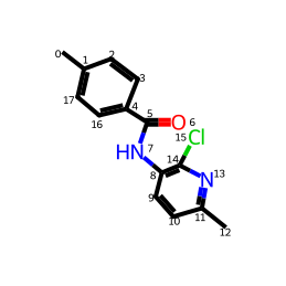 Cc1ccc(C(=O)Nc2ccc(C)nc2Cl)cc1